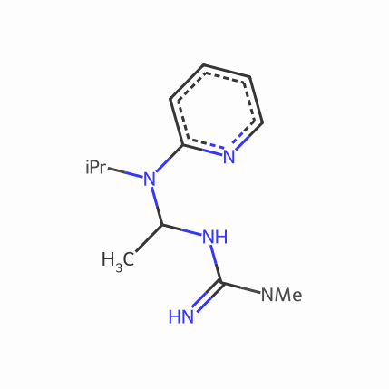 CNC(=N)NC(C)N(c1ccccn1)C(C)C